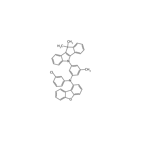 Cc1cc(N(c2cccc(Cl)c2)c2cccc3oc4ccccc4c23)cc(-n2c3c(c4ccccc42)C(C)(C)c2ccccc2-3)c1